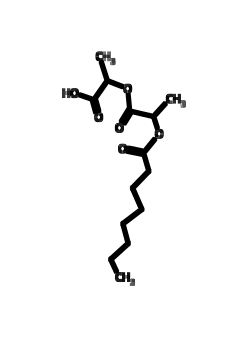 CCCCCCCC(=O)OC(C)C(=O)OC(C)C(=O)O